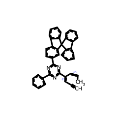 C#C/C=C(\C=C/C)c1nc(-c2ccccc2)nc(-c2ccc3c(c2)C2(c4ccccc4-c4ccccc42)c2ccccc2-3)n1